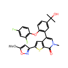 COc1cc(-c2cc3c(-c4cc(C(C)(C)O)ccc4Oc4ccc(F)cc4F)cn(C)c(=O)c3s2)no1